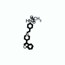 CS(=O)(=O)NC1CCC(CCN2CCC(c3coc4ccccc34)CC2)CC1